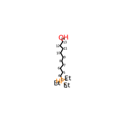 CC[PH](CC)(CC)CCCCCCCCCCO